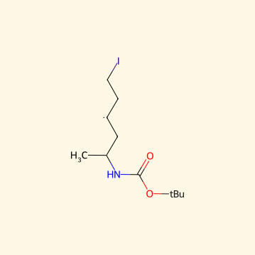 CC(C[CH]CCI)NC(=O)OC(C)(C)C